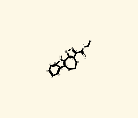 CCOC(=O)c1n[nH]c2c1CCCc1c-2[nH]c2ccccc12